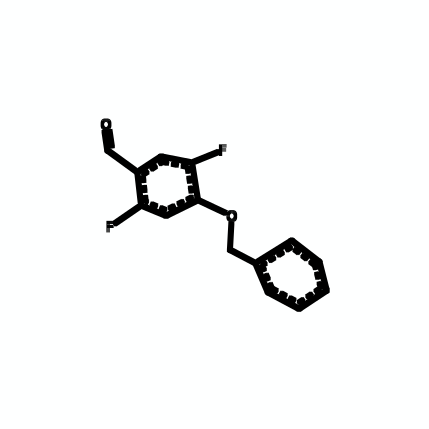 O=Cc1cc(F)c(OCc2ccccc2)cc1F